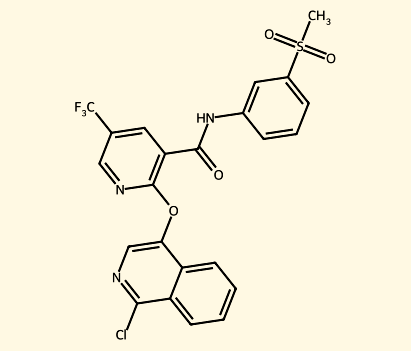 CS(=O)(=O)c1cccc(NC(=O)c2cc(C(F)(F)F)cnc2Oc2cnc(Cl)c3ccccc23)c1